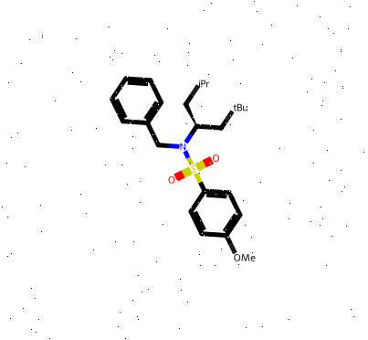 COc1ccc(S(=O)(=O)N(Cc2ccccc2)[C@@H](CC(C)C)CC(C)(C)C)cc1